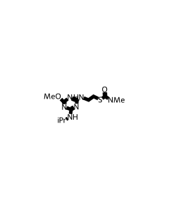 CNC(=O)SCCNc1nc(NC(C)C)nc(OC)n1